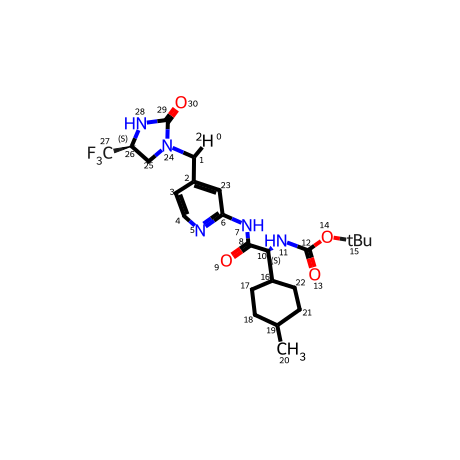 [2H]C(c1ccnc(NC(=O)[C@@H](NC(=O)OC(C)(C)C)C2CCC(C)CC2)c1)N1C[C@@H](C(F)(F)F)NC1=O